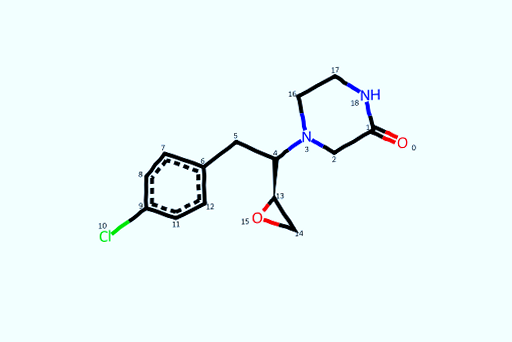 O=C1CN(C(Cc2ccc(Cl)cc2)[C@H]2CO2)CCN1